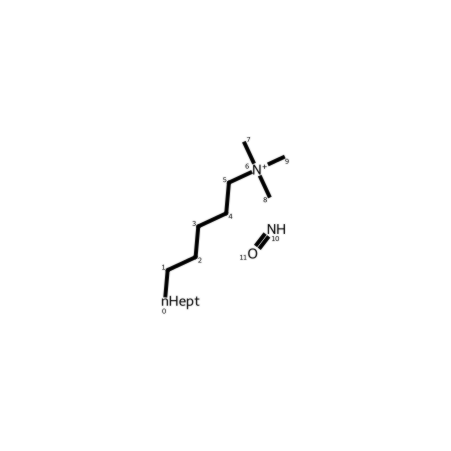 CCCCCCCCCCCC[N+](C)(C)C.N=O